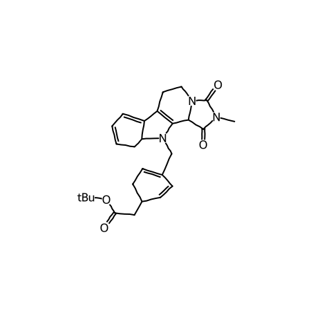 CN1C(=O)C2C3=C(CCN2C1=O)C1=CC=CCC1N3CC1=CCC(CC(=O)OC(C)(C)C)C=C1